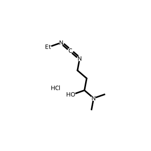 CCN=C=NCCC(O)N(C)C.Cl